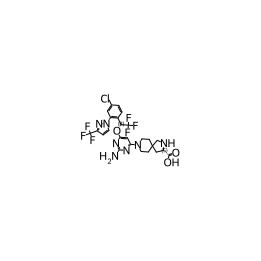 Nc1nc(O[C@H](c2ccc(Cl)cc2-n2ccc(C(F)(F)F)n2)C(F)(F)F)cc(N2CCC3(CC2)CN[C@H](C(=O)O)C3)n1